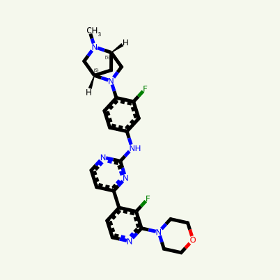 CN1C[C@@H]2C[C@H]1CN2c1ccc(Nc2nccc(-c3ccnc(N4CCOCC4)c3F)n2)cc1F